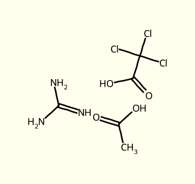 CC(=O)O.N=C(N)N.O=C(O)C(Cl)(Cl)Cl